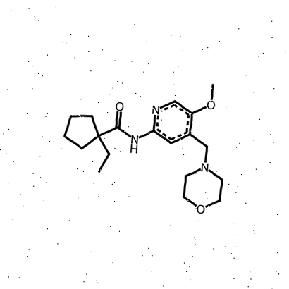 CCC1(C(=O)Nc2cc(CN3CCOCC3)c(OC)cn2)CCCC1